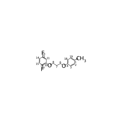 Cc1ccc(OCCCOc2cc(F)ccc2F)cc1